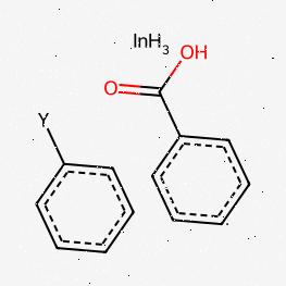 O=C(O)c1cc[c]cc1.[InH3].[Y][c]1ccccc1